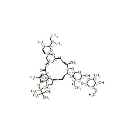 CC[C@@H](C)[C@H]1O[C@]2(C=C[C@@H]1C)C[C@@H]1C[C@@H](C/C=C(\C)[C@@H](O[C@H]3C[C@H](OC)[C@@H](O[C@H]4C[C@H](OC)[C@@H](O)[C@H](C)O4)[C@H](C)O3)[C@@H](C)/C=C/C=C3\CO[C@@H]4[C@H](O[Si](C)(C)C(C)(C)C)C(C)=C[C@@H](C(=O)O1)[C@]34O)O2